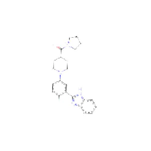 O=C(C1CCN(c2ccc(F)c(-c3nc4ccccc4[nH]3)c2)CC1)N1CCCC1